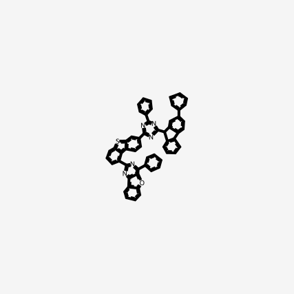 c1ccc(-c2ccc3c(c2)C(c2nc(-c4ccccc4)nc(-c4ccc5c(c4)sc4cccc(-c6nc(-c7ccccc7)c7oc8ccccc8c7n6)c45)n2)c2ccccc2-3)cc1